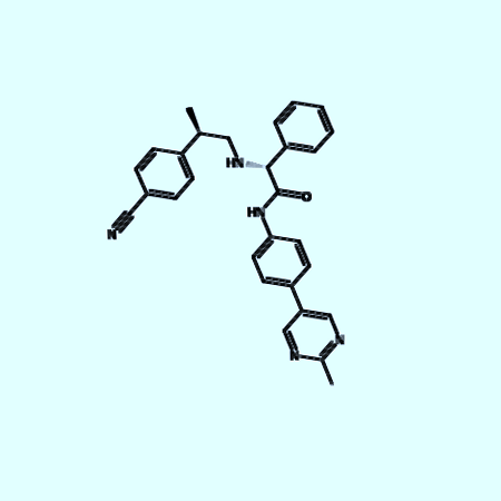 Cc1ncc(-c2ccc(NC(=O)[C@H](NC[C@H](C)c3ccc(C#N)cc3)c3ccccc3)cc2)cn1